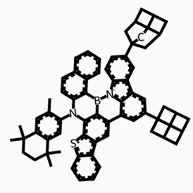 Cc1cc2c(cc1N1c3ccc4ccccc4c3B3c4c(cc5c(sc6ccccc65)c41)-c1cc(C45CC6CC7CC(C4)C765)cc4c5cc(C67CC8CC9CC(C6)C98C7)ccc5n3c14)C(C)(C)CCC2(C)C